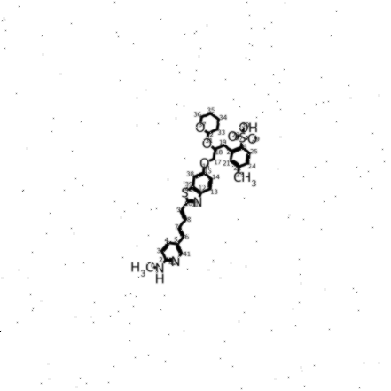 CNc1ccc(/C=C/C=C/c2nc3ccc(OCC(Cc4cc(C)ccc4S(=O)(=O)O)OC4CCCCO4)cc3s2)cn1